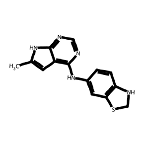 Cc1cc2c(Nc3ccc4c(c3)SCN4)ncnc2[nH]1